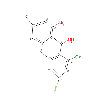 Cc1ccc(C(O)c2c(C)cc(F)cc2Cl)c(Br)c1